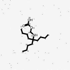 CCCCC(CCCC)(CCCC)NCOC(=O)O